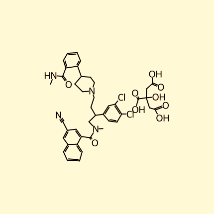 CNC(=O)c1ccccc1C1CCN(CCC(CN(C)C(=O)c2cc(C#N)cc3ccccc23)c2ccc(Cl)c(Cl)c2)CC1.O=C(O)CC(O)(CC(=O)O)C(=O)O